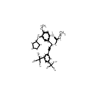 COC(=O)C[C@H](C#Cc1cc(C(F)(F)F)cc(C(F)(F)F)c1)c1ccc(OC)c(OC2CCCC2)c1